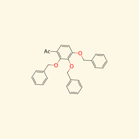 CC(=O)c1ccc(OCc2ccccc2)c(OCc2ccccc2)c1OCc1ccccc1